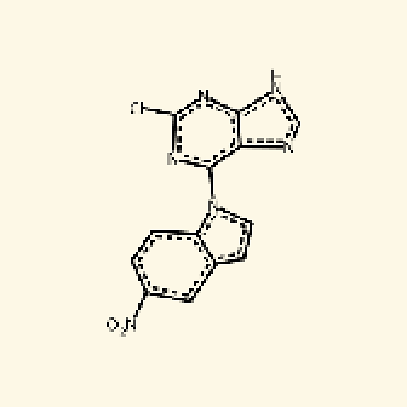 O=[N+]([O-])c1ccc2c(ccn2-c2nc(Cl)nc3[nH]cnc23)c1